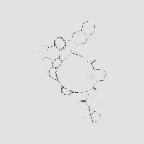 CO[C@@H](C)c1ncc(N2CCN3CCOC[C@@H]3C2)cc1-c1c2c3cc(ccc3n1CC(F)(F)F)-c1csc(n1)C[C@H](NC(=O)C1[C@H]3COC[C@@H]13)C(=O)N1CCC[C@H](N1)C(=O)OCC(C)(C)C2